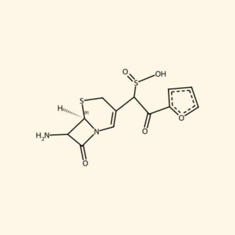 NC1C(=O)N2C=C(C(C(=O)c3ccco3)S(=O)O)CS[C@H]12